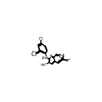 N#Cc1cc2cc(F)ncc2nc1Nc1ccc(Cl)cc1Cl